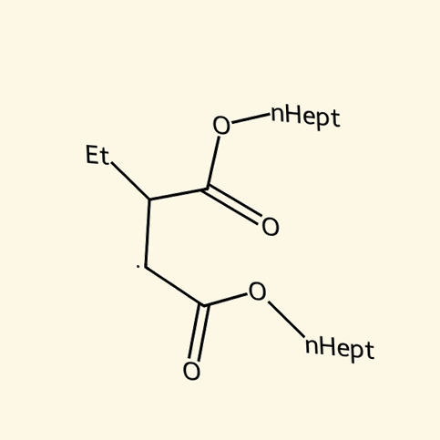 [CH2]CC([CH]C(=O)OCCCCCCC)C(=O)OCCCCCCC